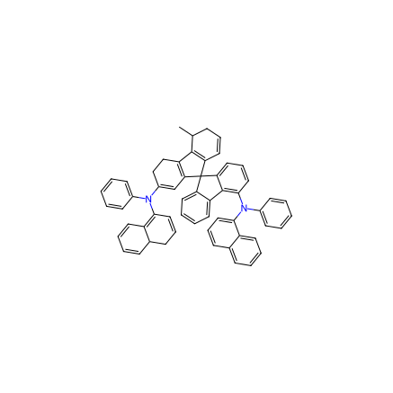 CC1CC=CC2=C1C1=C(C=C(N(C3=C4C=CC=CC4CC=C3)c3ccccc3)CC1)C21c2ccccc2-c2c(N(c3ccccc3)c3cccc4ccccc34)cccc21